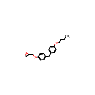 CCCCOc1ccc(Cc2ccc(OCC3CO3)cc2)cc1